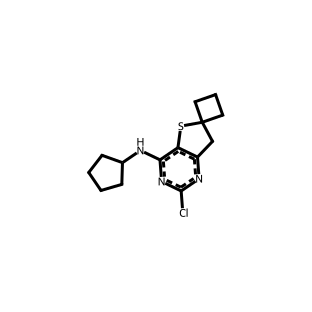 Clc1nc2c(c(NC3CCCC3)n1)SC1(CCC1)C2